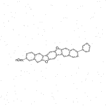 CCCCCCCCCCc1ccc2cc3c(cc2c1)oc1cc2c(cc13)oc1cc3cc(-c4ccccc4)ccc3cc12